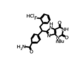 CCCCn1c(=O)[nH]c(=O)c2[nH]c(C(Cc3ccccc3F)c3ccc(C(N)=O)cc3)nc21.Cl